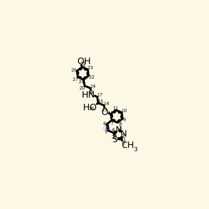 Cc1nnc(/C=C\c2ccccc2OCC(O)CNCCc2ccc(O)cc2)s1